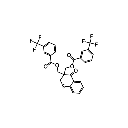 O=C(OCC1(COC(=O)c2cccc(C(F)(F)F)c2)CSc2ccccc2C1=O)c1cccc(C(F)(F)F)c1